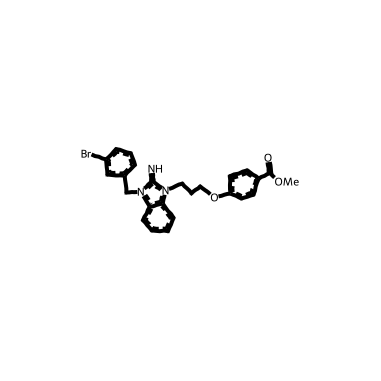 COC(=O)c1ccc(OCCCn2c(=N)n(Cc3cccc(Br)c3)c3ccccc32)cc1